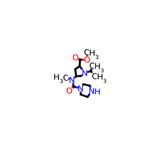 COC(=O)C1CC(N(C)C(=O)N2CCNCC2)CN1C(C)C